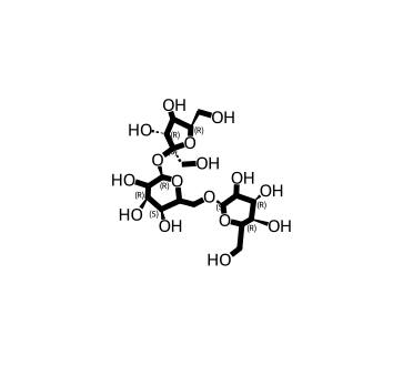 OCC1O[C@H](OCC2O[C@H](O[C@]3(CO)O[C@H](CO)C(O)[C@H]3O)C(O)[C@H](O)[C@@H]2O)C(O)[C@H](O)[C@H]1O